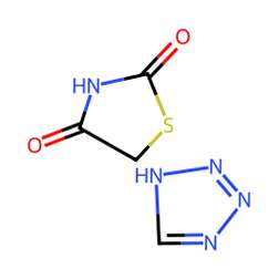 O=C1CSC(=O)N1.c1nnn[nH]1